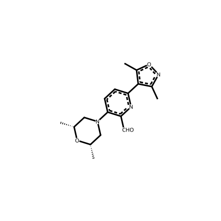 Cc1noc(C)c1-c1ccc(N2C[C@@H](C)O[C@@H](C)C2)c(C=O)n1